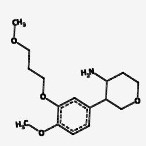 COCCCOc1cc(C2COCCC2N)ccc1OC